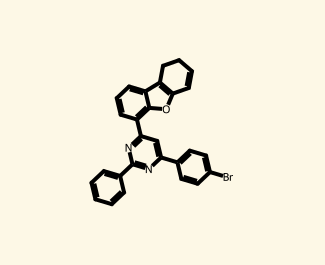 Brc1ccc(-c2cc(-c3cccc4c5c(oc34)C=CCC5)nc(-c3ccccc3)n2)cc1